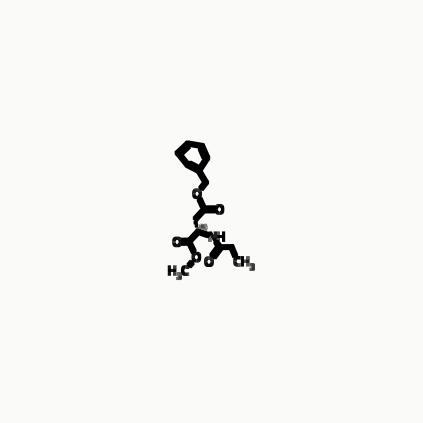 CCC(=O)N[C@@H](CC(=O)OCc1ccccc1)C(=O)OC